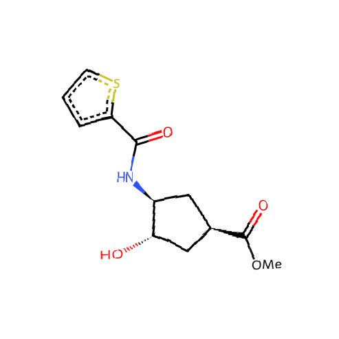 COC(=O)[C@@H]1C[C@H](NC(=O)c2cccs2)[C@@H](O)C1